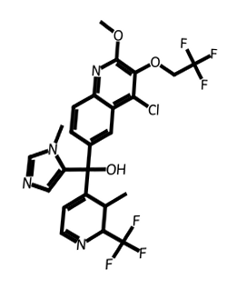 COc1nc2ccc(C(O)(C3=CC=NC(C(F)(F)F)C3C)c3cncn3C)cc2c(Cl)c1OCC(F)(F)F